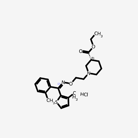 CCOC(=O)[C@@H]1CCCN(CCO/N=C(/c2ccccc2C)c2sccc2C)C1.Cl